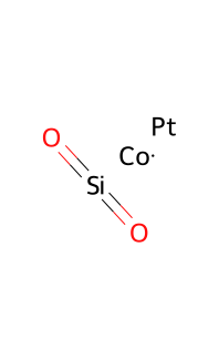 O=[Si]=O.[Co].[Pt]